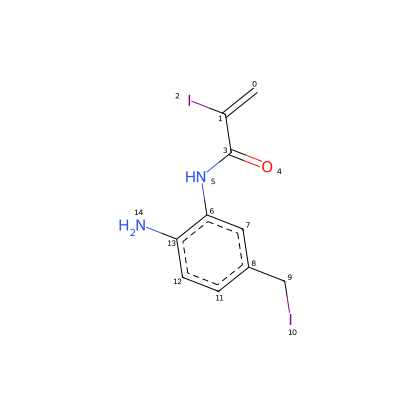 C=C(I)C(=O)Nc1cc(CI)ccc1N